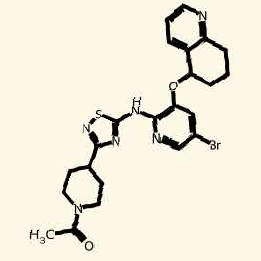 CC(=O)N1CCC(c2nsc(Nc3ncc(Br)cc3OC3CCCc4ncccc43)n2)CC1